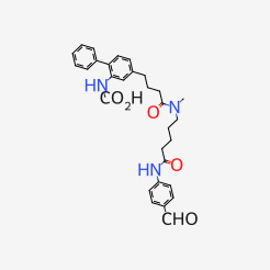 CN(CCCCC(=O)Nc1ccc(C=O)cc1)C(=O)CCCc1ccc(-c2ccccc2)c(NC(=O)O)c1